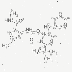 CNC(=O)c1nn(C)cc1NC(=O)Oc1nc(C(C)(C)C)ncc1Nc1cncnc1